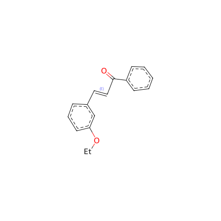 CCOc1cccc(/C=C/C(=O)c2ccccc2)c1